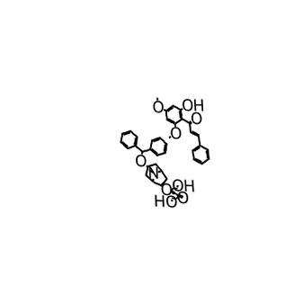 CN1C2CCC1CC(OC(c1ccccc1)c1ccccc1)C2.COc1cc(O)c(C(=O)C=Cc2ccccc2)c(OC)c1.O=S(=O)(O)O